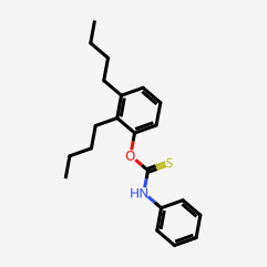 CCCCc1cccc(OC(=S)Nc2ccccc2)c1CCCC